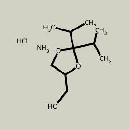 CC(C)C1(C(C)C)OCC(CO)O1.Cl.N